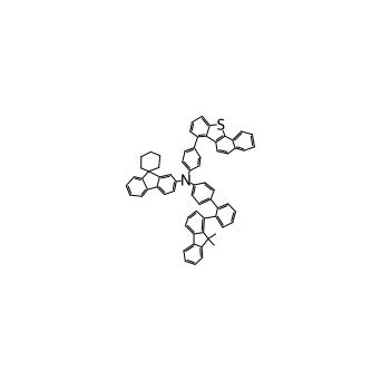 CC1(C)c2ccccc2-c2cccc(-c3ccccc3-c3ccc(N(c4ccc(-c5cccc6sc7c8ccccc8ccc7c56)cc4)c4ccc5c(c4)C4(CCCCC4)c4ccccc4-5)cc3)c21